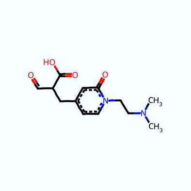 CN(C)CCn1ccc(CC(C=O)C(=O)O)cc1=O